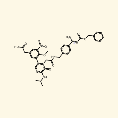 COc1c(-c2cnc(NC(C)C)c(=O)n2CC(=O)NCc2ccc(/C(N)=N/C(=O)OCc3ccccc3)cc2)cc(CC(=O)O)cc1[N+](=O)[O-]